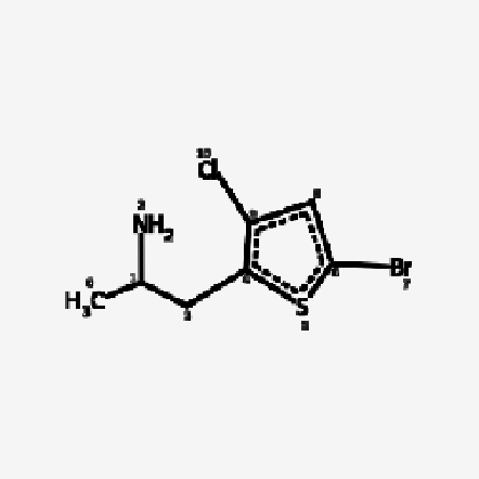 CC(N)Cc1sc(Br)cc1Cl